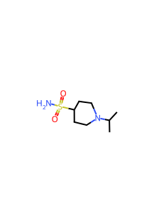 CC(C)N1CCC(S(N)(=O)=O)CC1